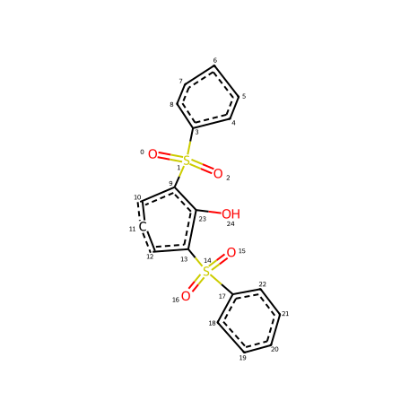 O=S(=O)(c1ccccc1)c1cccc(S(=O)(=O)c2ccccc2)c1O